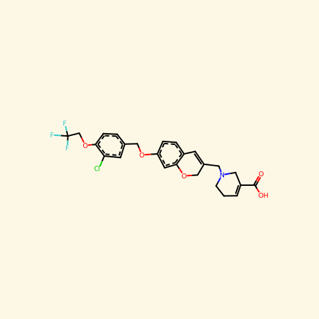 O=C(O)C1=CCCN(CC2=Cc3ccc(OCc4ccc(OCC(F)(F)F)c(Cl)c4)cc3OC2)C1